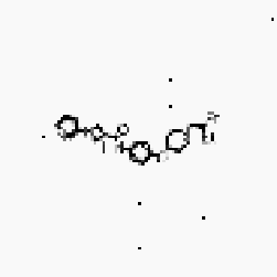 CCC(CC)CN1CCC(Oc2ccc(NC(=O)C3CN(c4cccnc4)C3)cc2)CC1